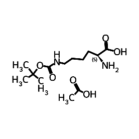 CC(=O)O.CC(C)(C)OC(=O)NCCCC[C@H](N)C(=O)O